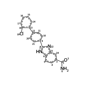 NC(=O)c1ccc2[nH]c(-c3ccc(-c4ccccc4Cl)cc3)nc2c1